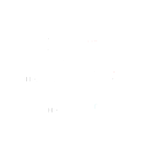 Cc1c(C)c(C(=O)O)c(O)c(O)c1F